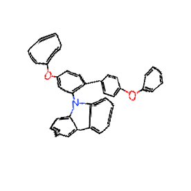 c1ccc(Oc2ccc(-c3ccc(Oc4ccccc4)cc3-n3c4ccccc4c4ccccc43)cc2)cc1